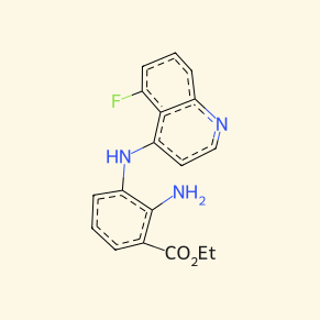 CCOC(=O)c1cccc(Nc2ccnc3cccc(F)c23)c1N